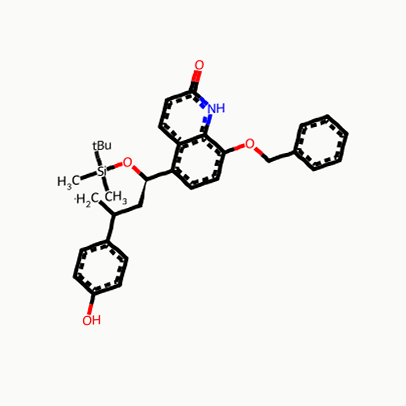 [CH2]C(C[C@@H](O[Si](C)(C)C(C)(C)C)c1ccc(OCc2ccccc2)c2[nH]c(=O)ccc12)c1ccc(O)cc1